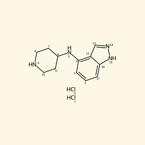 Cl.Cl.c1cc(NC2CCNCC2)c2cn[nH]c2c1